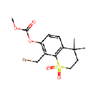 COC(=O)Oc1ccc2c(c1CBr)S(=O)(=O)CCC2(C)C